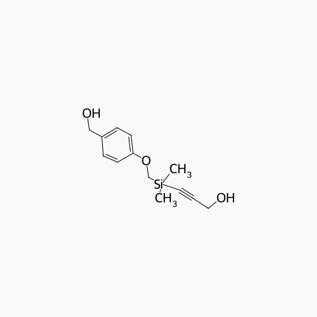 C[Si](C)(C#CCO)COc1ccc(CO)cc1